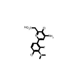 CN(C)c1c(Cl)ccc(-c2cc(N)c(Cl)c(CC(=O)O)n2)c1F